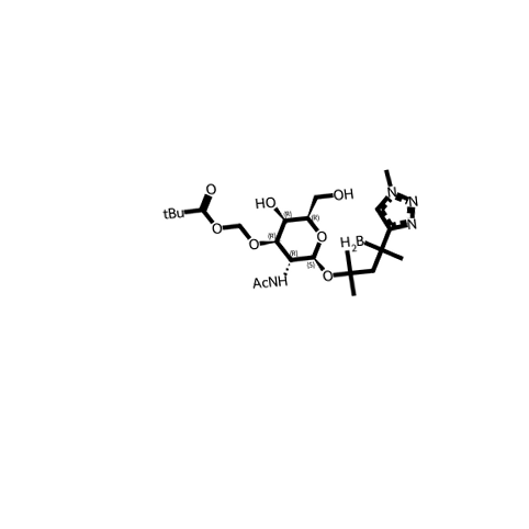 BC(C)(CC(C)(C)O[C@@H]1O[C@H](CO)[C@H](O)[C@H](OCOC(=O)C(C)(C)C)[C@H]1NC(C)=O)c1cn(C)nn1